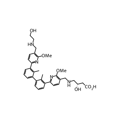 COc1nc(-c2cccc(-c3cccc(-c4ccc(CNC[C@@H](O)CC(=O)O)c(OC)n4)c3C)c2C)ccc1CNCCO